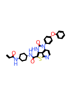 C=CC(=O)N[C@H]1CC[C@H](NC(=O)c2sc3nccc4c3c2NC(=O)N4c2ccc(Oc3ccccc3)cc2)CC1